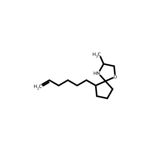 C=CCCCCC1CCCC12NC(C)CO2